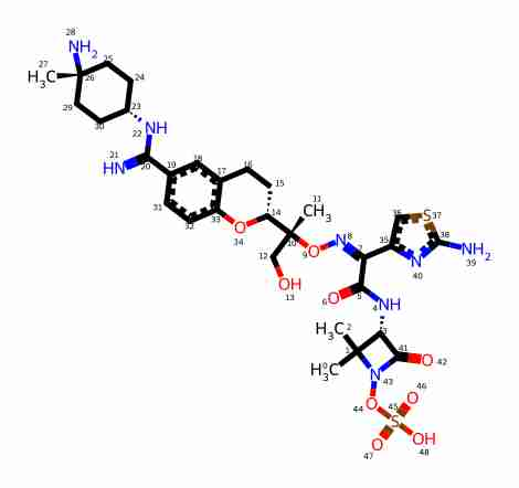 CC1(C)[C@H](NC(=O)/C(=N\O[C@](C)(CO)[C@H]2CCc3cc(C(=N)N[C@H]4CC[C@@](C)(N)CC4)ccc3O2)c2csc(N)n2)C(=O)N1OS(=O)(=O)O